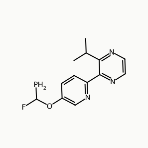 CC(C)c1nccnc1-c1ccc(OC(F)P)cn1